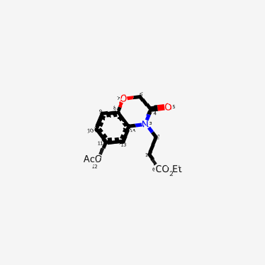 CCOC(=O)CCN1C(=O)COc2ccc(OC(C)=O)cc21